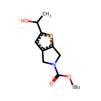 CC(O)c1cc2c(s1)CN(C(=O)OC(C)(C)C)C2